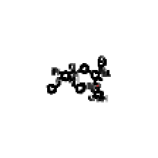 CCN(c1cc(-c2cccc(NC(=O)c3cc(C(C)C)c(OCc4ccccc4)cc3OCc3ccccc3)c2)cc(C(=O)NCc2c(C)cc(C)[nH]c2=O)c1C)C1CCOCC1